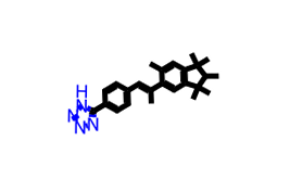 CC(=Cc1ccc(-c2nnn[nH]2)cc1)c1cc2c(cc1C)C(C)(C)C(C)C2(C)C